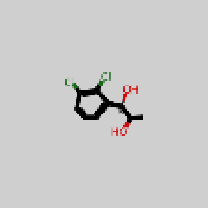 CC(O)[C@H](O)c1cccc(Cl)c1Cl